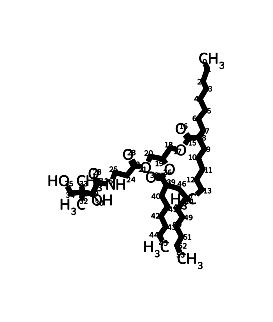 CCCCCCCCC(CCCCCC)C(=O)OCC(COC(=O)CCNC(=O)[C@H](O)C(C)(C)CO)OC(=O)C(CCCCCC)CCCCCCCC